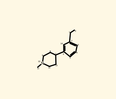 CCc1cc[c]c(C2CCN(C)CC2)c1